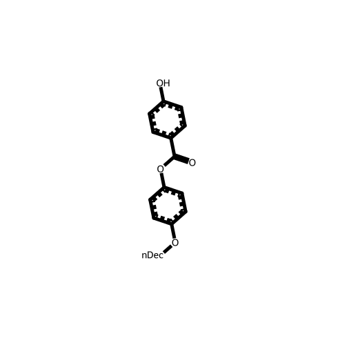 CCCCCCCCCCOc1ccc(OC(=O)c2ccc(O)cc2)cc1